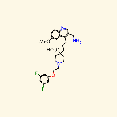 COc1ccc2ncc(CN)c(CCCC3(C(=O)O)CCN(CCOc4cc(F)cc(F)c4)CC3)c2c1